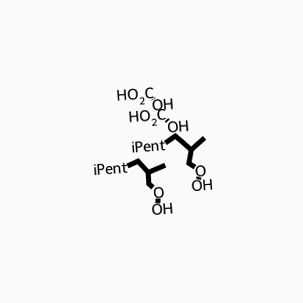 CCCC(C)CC(C)COO.CCCC(C)CC(C)COO.O=C(O)O.O=C(O)O